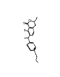 CCCc1ccc(C(C)c2ccc3c(c2F)C(=O)OC(C)C3)cc1